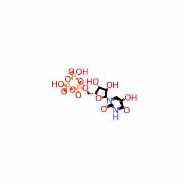 O=c1[nH]c(=O)n([C@@H]2O[C@H](COP3(=O)OP(=O)(O)OP(=O)(O)O3)[C@H](O)C2O)cc1O